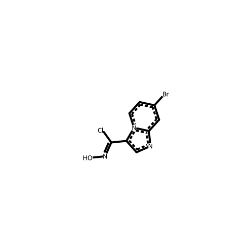 O/N=C(\Cl)c1cnc2cc(Br)ccn12